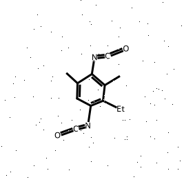 CCc1c(N=C=O)cc(C)c(N=C=O)c1C